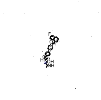 CC(=N)/C(C)=C(\O)NS(=O)(=O)c1ccc(N2CCN(C(=O)[C@@H](C)N3CCCc4cc(F)ccc43)CC2)cc1